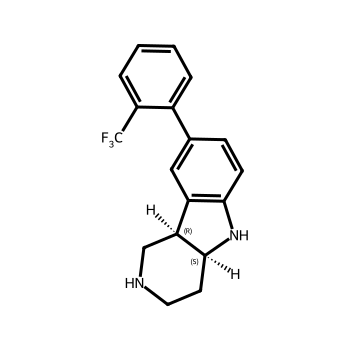 FC(F)(F)c1ccccc1-c1ccc2c(c1)[C@@H]1CNCC[C@@H]1N2